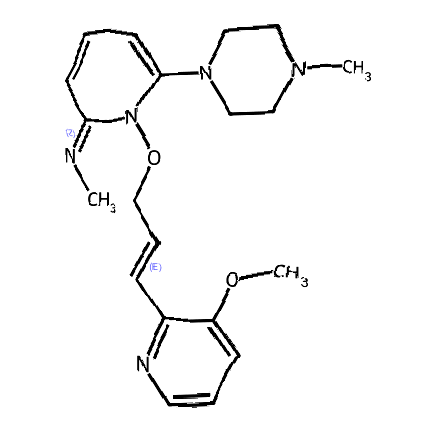 C/N=c1/cccc(N2CCN(C)CC2)n1OC/C=C/c1ncccc1OC